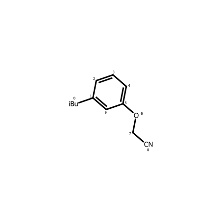 CCC(C)c1cccc(OCC#N)c1